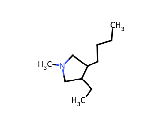 CCCCC1CN(C)CC1CC